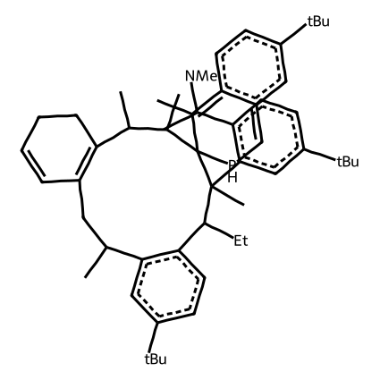 CCC1c2ccc(C(C)(C)C)cc2C(C)CC2=C(CCC=C2)C(C)C(C)C2(PC=c3cc(C(C)(C)C)ccc3=C2C)C1(C)c1cc(C(C)(C)C)ccc1C(C)NC